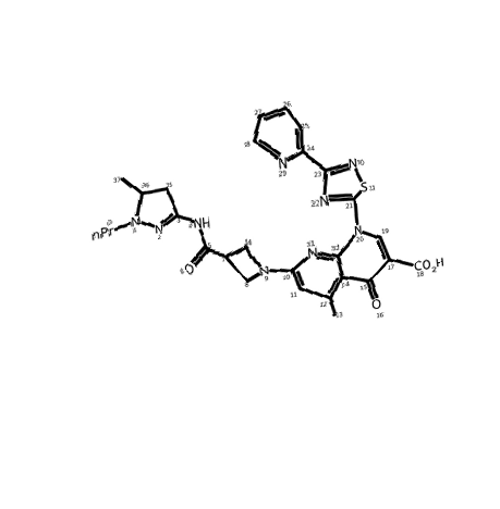 CCCN1N=C(NC(=O)C2CN(c3cc(C)c4c(=O)c(C(=O)O)cn(-c5nc(-c6ccccn6)ns5)c4n3)C2)CC1C